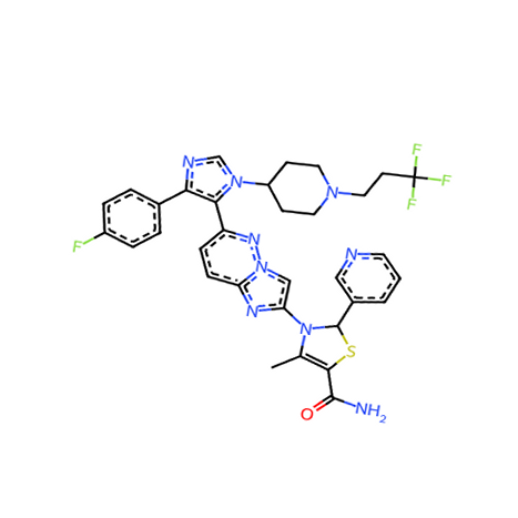 CC1=C(C(N)=O)SC(c2cccnc2)N1c1cn2nc(-c3c(-c4ccc(F)cc4)ncn3C3CCN(CCC(F)(F)F)CC3)ccc2n1